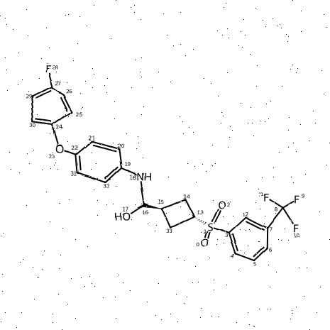 O=S(=O)(c1cccc(C(F)(F)F)c1)[C@H]1C[C@H](C(O)Nc2ccc(Oc3ccc(F)cc3)cc2)C1